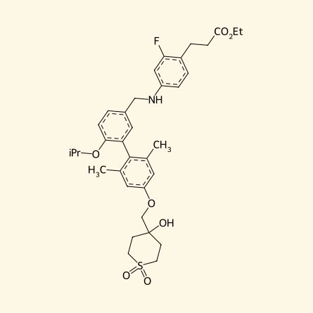 CCOC(=O)CCc1ccc(NCc2ccc(OC(C)C)c(-c3c(C)cc(OCC4(O)CCS(=O)(=O)CC4)cc3C)c2)cc1F